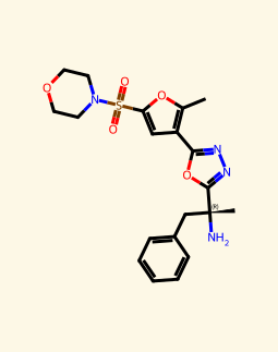 Cc1oc(S(=O)(=O)N2CCOCC2)cc1-c1nnc([C@](C)(N)Cc2ccccc2)o1